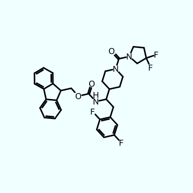 O=C(NC(Cc1cc(F)ccc1F)C1CCN(C(=O)N2CCC(F)(F)C2)CC1)OCC1c2ccccc2-c2ccccc21